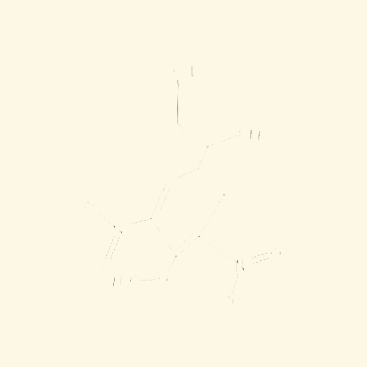 CCC(C)c1cc([N+](=O)[O-])c(OC)c([N+](=O)[O-])c1